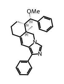 CO[C@H](c1ccccc1)[C@H]1CCCC2=Cc3c(-c4ccccc4)ncn3C[C@@]21C